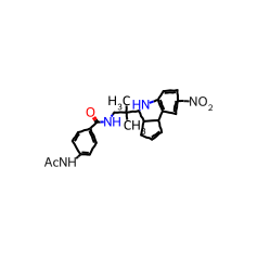 CC(=O)Nc1ccc(C(=O)NCC(C)(C)C2Nc3ccc([N+](=O)[O-])cc3C3C=CCC32)cc1